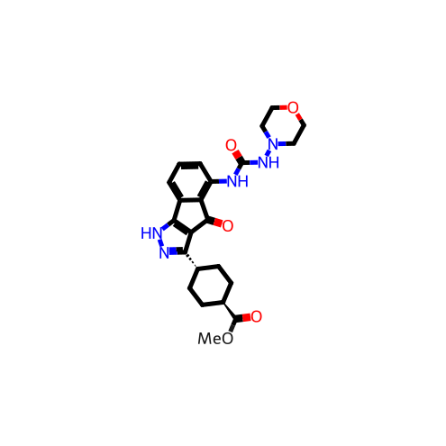 COC(=O)[C@H]1CC[C@H](c2n[nH]c3c2C(=O)c2c(NC(=O)NN4CCOCC4)cccc2-3)CC1